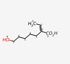 CC=C(CCCCCO)C(=O)O